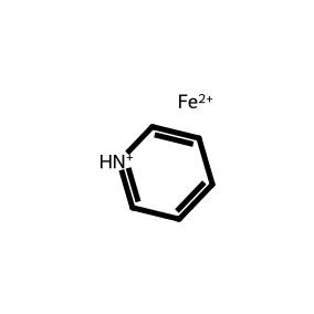 [Fe+2].c1cc[nH+]cc1